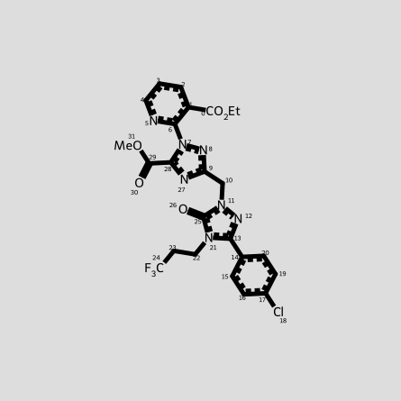 CCOC(=O)c1cccnc1-n1nc(Cn2nc(-c3ccc(Cl)cc3)n(CCC(F)(F)F)c2=O)nc1C(=O)OC